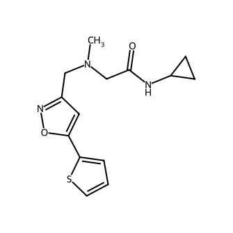 CN(CC(=O)NC1CC1)Cc1cc(-c2cccs2)on1